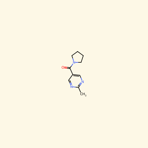 Cc1ncc(C(=O)N2CCCC2)cn1